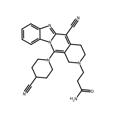 N#Cc1c2c(c(N3CCC(C#N)CC3)n3c1nc1ccccc13)CN(CCC(N)=O)CC2